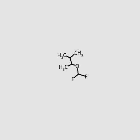 CC(C)C(C)OC(F)F